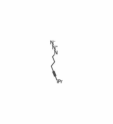 CC(C)C#CCCCN=[N+]=[N-]